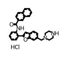 Cl.O=C(Nc1ccccc1-c1cc2ccc(CN3CCNCC3)cc2o1)c1ccc2ccccc2c1